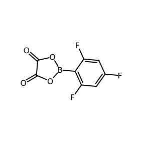 O=C1OB(c2c(F)cc(F)cc2F)OC1=O